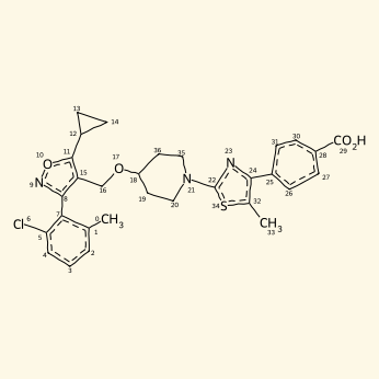 Cc1cccc(Cl)c1-c1noc(C2CC2)c1COC1CCN(c2nc(-c3ccc(C(=O)O)cc3)c(C)s2)CC1